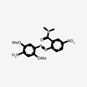 COc1cc(N=Nc2ccc([N+](=O)[O-])cc2C(=O)N(C)C)c(OC)cc1N